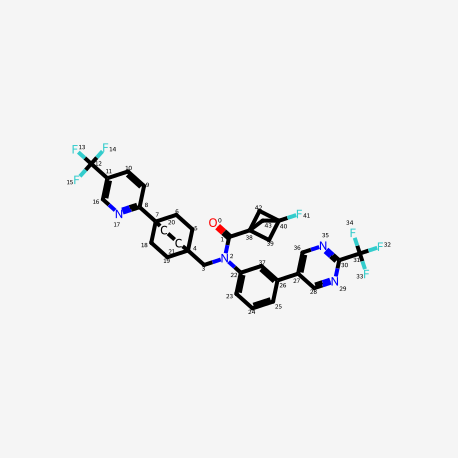 O=C(N(CC12CCC(c3ccc(C(F)(F)F)cn3)(CC1)CC2)c1cccc(-c2cnc(C(F)(F)F)nc2)c1)C12CC(F)(C1)C2